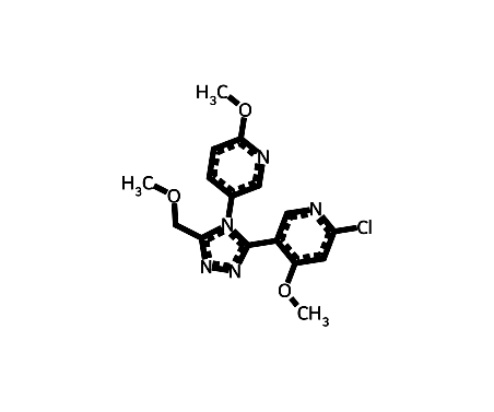 COCc1nnc(-c2cnc(Cl)cc2OC)n1-c1ccc(OC)nc1